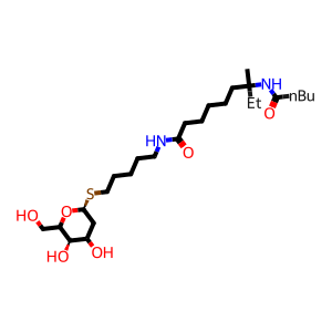 CCCCC(=O)NC(C)(CC)CCCCCC(=O)NCCCCCS[C@H]1CC(O)[C@@H](O)C(CO)O1